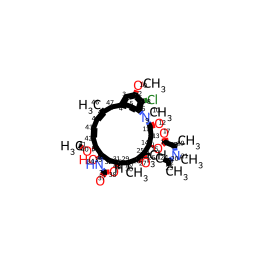 COc1cc2cc(c1Cl)N(C)C(=O)C[C@@H](OC(=O)[C@H](C)N(C)C(C)C)[C@]1(C)OC1[C@H](C)[C@@H]1C[C@@](O)(NC(=O)O1)[C@H](OC)C=CC=C(C)C2